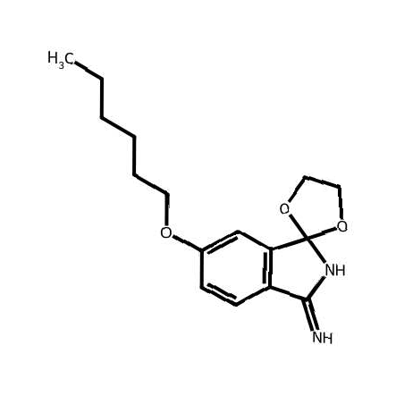 CCCCCCOc1ccc2c(c1)C1(NC2=N)OCCO1